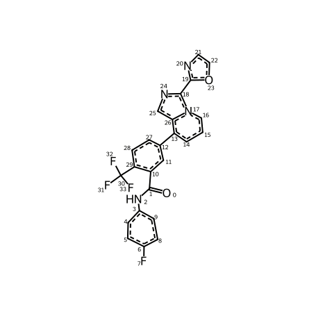 O=C(Nc1ccc(F)cc1)c1cc(-c2cccn3c(-c4ncco4)ncc23)ccc1C(F)(F)F